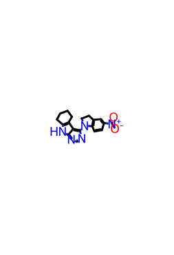 O=[N+]([O-])c1ccc2c(c1)CCN2c1ncnc2[nH]c3c(c12)CCCC3